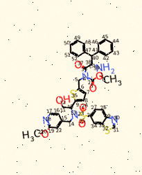 COC(=O)N(Cc1ccc(C(CO)N(Cc2ccnc(OC)c2)S(=O)(=O)c2ccc3ncsc3c2)s1)C(=O)[C@@H](N)C(c1ccccc1)c1ccccc1